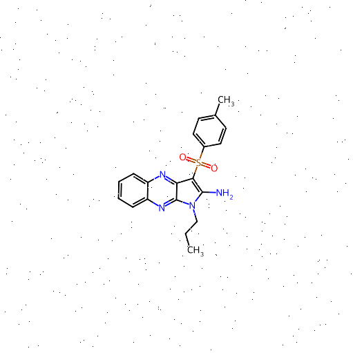 CCCn1c(N)c(S(=O)(=O)c2ccc(C)cc2)c2nc3ccccc3nc21